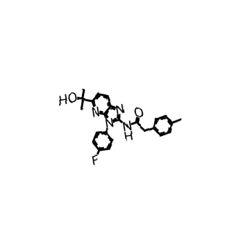 Cc1ccc(CC(=O)Nc2nc3ccc(C(C)(C)O)nc3n2-c2ccc(F)cc2)cc1